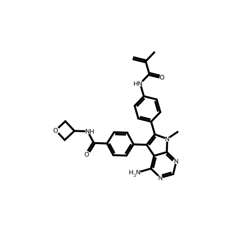 C=C(C)C(=O)Nc1ccc(-c2c(-c3ccc(C(=O)NC4COC4)cc3)c3c(N)ncnc3n2C)cc1